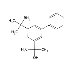 BC(C)(C)c1cc(-c2ccccc2)cc(C(C)(C)O)c1